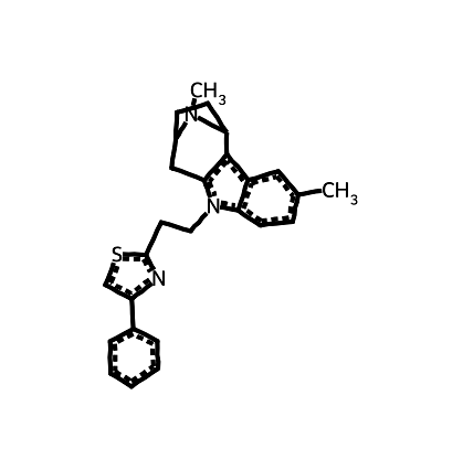 Cc1ccc2c(c1)c1c(n2CCc2nc(-c3ccccc3)cs2)CC2CCC1N2C